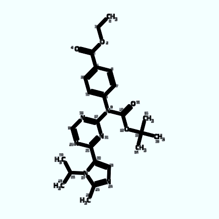 CCOC(=O)c1ccc(N(C(=O)OC(C)(C)C)c2ncnc(-c3cnc(C)n3C(C)C)n2)cc1